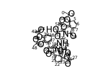 CC(=O)Oc1cccc(C(=O)N(CCNCC(N)(C(=O)c2cccc(OC(C)=O)c2OC(C)=O)C(=O)c2cccc(OC(C)=O)c2OC(C)=O)CC(=O)O)c1OC(C)=O